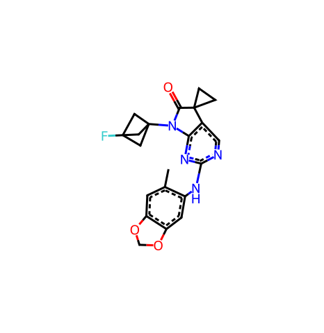 Cc1cc2c(cc1Nc1ncc3c(n1)N(C14CC(F)(C1)C4)C(=O)C31CC1)OCO2